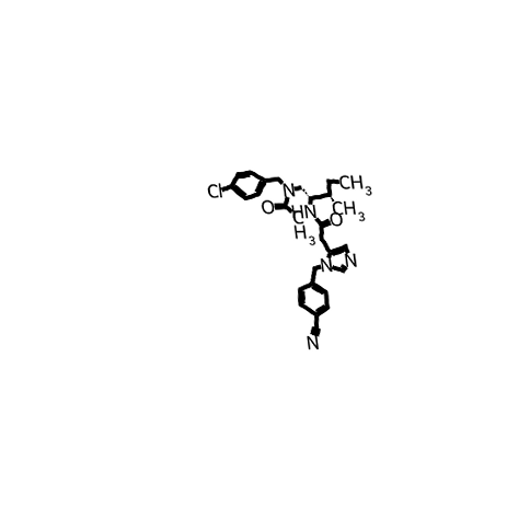 CC[C@H](C)[C@@H](CN(Cc1ccc(Cl)cc1)C(C)=O)NC(=O)Cc1cncn1Cc1ccc(C#N)cc1